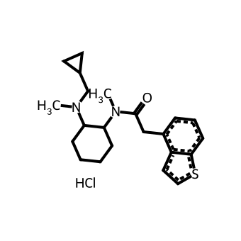 CN(CC1CC1)C1CCCCC1N(C)C(=O)Cc1cccc2sccc12.Cl